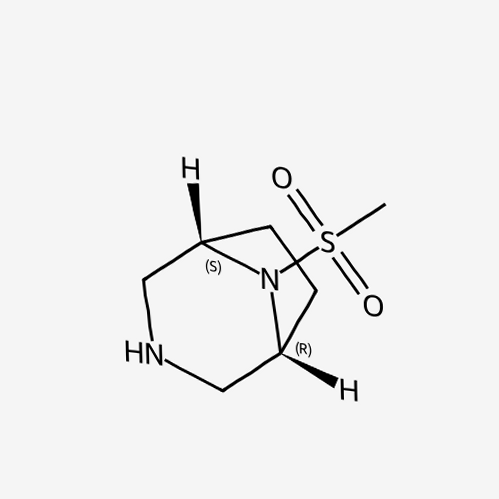 CS(=O)(=O)N1[C@@H]2CC[C@H]1CNC2